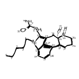 CCCCCn1c(NC(N)=O)c2c3c(cccc31)C1CCCN[C@@H]1C2